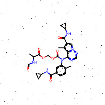 Cc1ccc(C(=O)NC2CC2)cc1N(C(=O)OCOC(=O)C(C)NC=O)c1ncnn2cc(C(=O)NC3CC3)c(C)c12